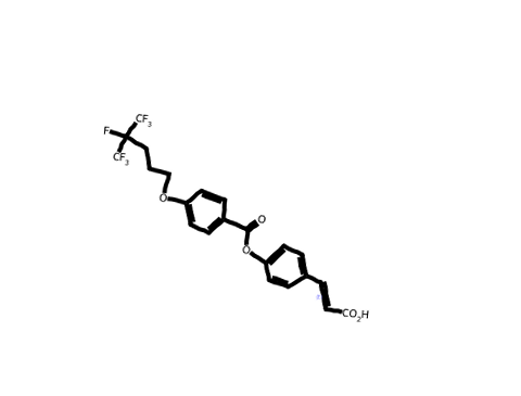 O=C(O)/C=C/c1ccc(OC(=O)c2ccc(OCCCC(F)(C(F)(F)F)C(F)(F)F)cc2)cc1